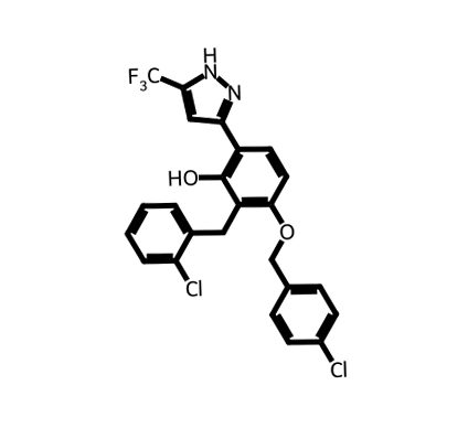 Oc1c(-c2cc(C(F)(F)F)[nH]n2)ccc(OCc2ccc(Cl)cc2)c1Cc1ccccc1Cl